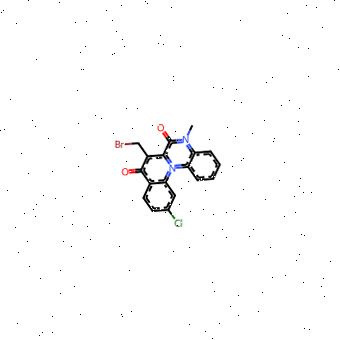 Cn1c(=O)c2c(CBr)c(=O)c3ccc(Cl)cc3n2c2ccccc21